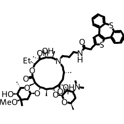 CC[C@H]1OC(=O)[C@H](C)[C@@H](O[C@H]2C[C@@](C)(OC)[C@@H](O)[C@H](C)O2)[C@H](C)[C@@H](O[C@@H]2O[C@H](C)C[C@H](N(C)C)[C@H]2O)[C@](C)(O)C[C@@H](C)CN(CCCNC(=O)Cc2cc3c(s2)-c2ccccc2Sc2ccccc2-3)[C@H](C)[C@@H](O)[C@]1(C)O